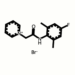 Cc1cc(F)cc(C)c1NC(=O)C[n+]1ccccc1.[Br-]